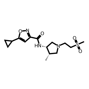 C[C@H]1CN(CCS(C)(=O)=O)C[C@H]1NC(=O)c1cc(C2CC2)on1